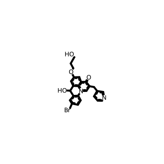 O=c1c(Cc2cccnc2)cn2c3c(cc(OCCCO)cc13)C(O)c1cc(Br)ccc1-2